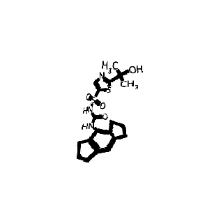 CC(C)(O)c1ncc(S(=O)(=O)NC(=O)Nc2c3c(cc4c2CCC4)CCC3)s1